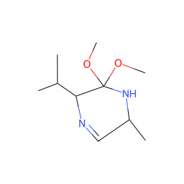 COC1(OC)NC(C)C=NC1C(C)C